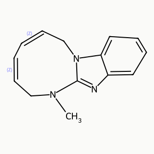 CN1C/C=C\C=C/Cn2c1nc1ccccc12